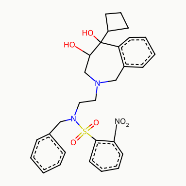 O=[N+]([O-])c1ccccc1S(=O)(=O)N(CCN1Cc2ccccc2C(O)(C2CCC2)C(O)C1)Cc1ccccc1